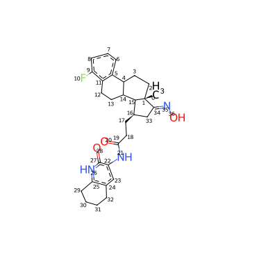 C[C@]12CCC3c4cccc(F)c4CCC3C1[C@H](CCC(=O)Nc1cc3c([nH]c1=O)CCCC3)C/C2=N\O